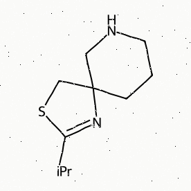 CC(C)C1=NC2(CCCNC2)CS1